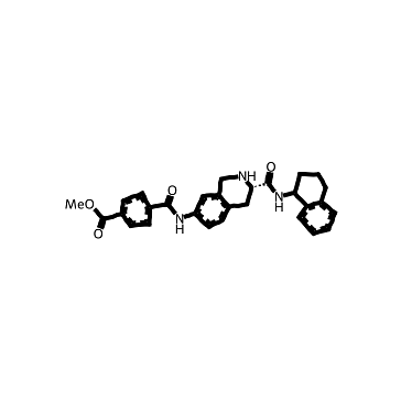 COC(=O)c1ccc(C(=O)Nc2ccc3c(c2)CN[C@H](C(=O)NC2CCCc4ccccc42)C3)cc1